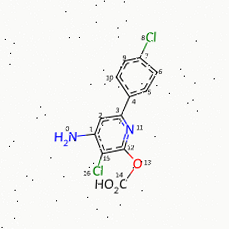 Nc1cc(-c2ccc(Cl)cc2)nc(OC(=O)O)c1Cl